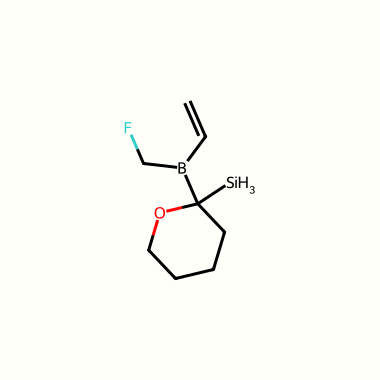 C=CB(CF)C1([SiH3])CCCCO1